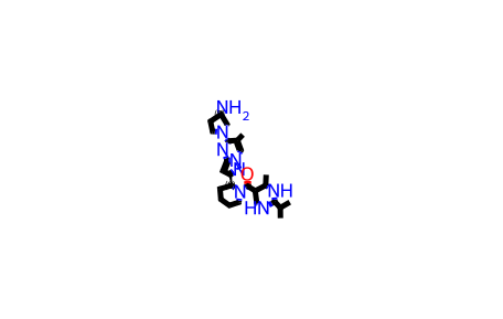 Cc1cn2nc([C@@H]3CCCCN3C(=O)C3CNC(C(C)C)NC3C)cc2nc1N1CC[C@H](N)C1